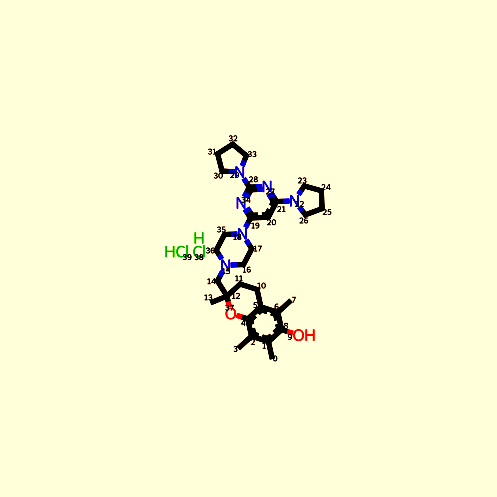 Cc1c(C)c2c(c(C)c1O)CCC(C)(CN1CCN(c3cc(N4CCCC4)nc(N4CCCC4)n3)CC1)O2.Cl.Cl